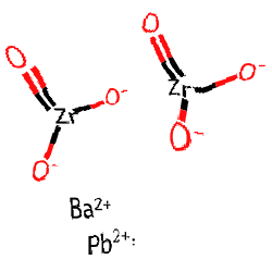 [Ba+2].[O]=[Zr]([O-])[O-].[O]=[Zr]([O-])[O-].[Pb+2]